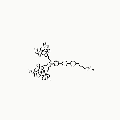 C=C(C)C(=O)OCCC[Si](CCCOC(=O)C(=C)C)(CCCOC(=O)C(C)(C)C)c1ccc(C2CCC(C3CCC(CCCCC)CC3)CC2)cc1